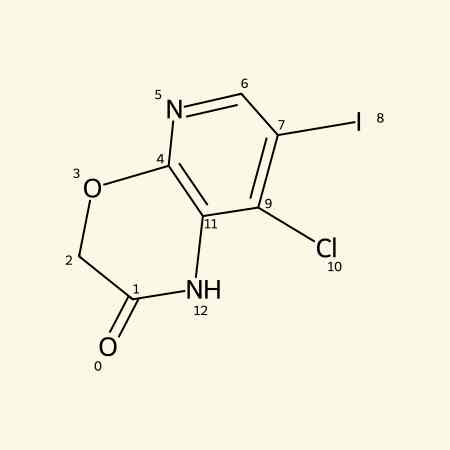 O=C1COc2ncc(I)c(Cl)c2N1